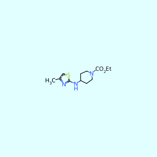 CCOC(=O)N1CCC(Nc2nc(C)cs2)CC1